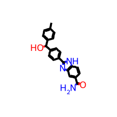 Cc1ccc(C(O)c2ccc(-c3nc4cc(C(N)=O)ccc4[nH]3)cc2)cc1